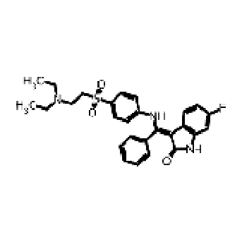 CCN(CC)CCS(=O)(=O)c1ccc(NC(=C2C(=O)Nc3cc(F)ccc32)c2ccccc2)cc1